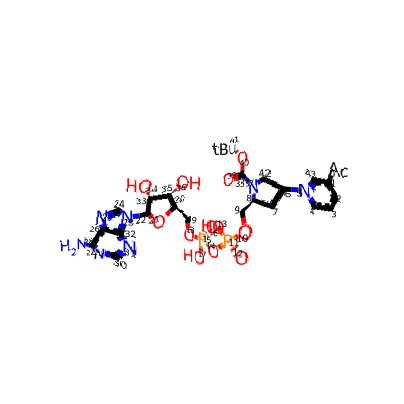 CC(=O)c1ccc[n+](C2C[C@@H](COP(=O)(O)OP(=O)(O)OC[C@H]3OC(n4cnc5c(N)ncnc54)[C@H](O)[C@@H]3O)N(C(=O)OC(C)(C)C)C2)c1